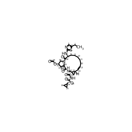 CCc1cnc(N[C@H]2CCCCC/C=C\[C@@H]3C[C@@]3(C(=O)NS(=O)(=O)C3CC3)NC(=O)[C@@H]3C[C@@H](OC=O)CN3C2=O)s1